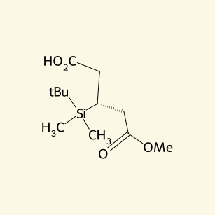 COC(=O)C[C@@H](CC(=O)O)[Si](C)(C)C(C)(C)C